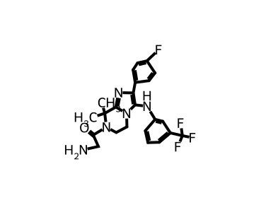 CC1(C)c2nc(-c3ccc(F)cc3)c(Nc3cccc(C(F)(F)F)c3)n2CCN1C(=O)CN